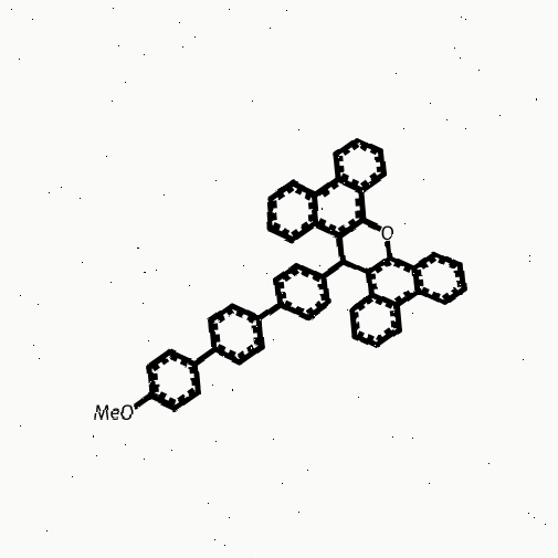 COc1ccc(-c2ccc(-c3ccc(C4c5c(c6ccccc6c6ccccc56)Oc5c4c4ccccc4c4ccccc54)cc3)cc2)cc1